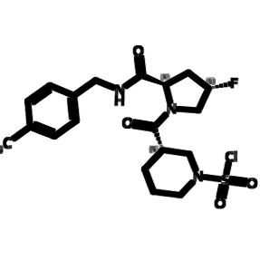 O=C(NCc1ccc(C(F)(F)F)cc1)[C@H]1C[C@H](F)CN1C(=O)[C@H]1CCCN(S(=O)(=O)Cl)C1